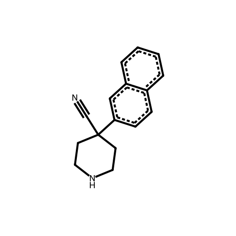 N#CC1(c2ccc3ccccc3c2)CCNCC1